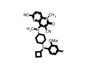 COc1cc(F)ccc1N(C1CCC1)[C@H]1CC[C@@H](N(C)c2c(C#N)c(=O)n(C)c3ccc(C#N)nc23)CC1